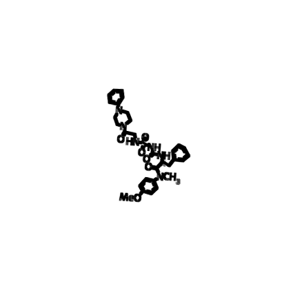 COc1ccc(N(C)C(=O)[C@H](Cc2ccccc2)NC(=O)NS(=O)(=O)NCC(=O)N2CCN(c3ccccc3)CC2)cc1